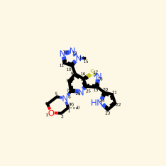 C[C@@H]1COCCN1c1cc(-c2cnnn2C)c2snc(-c3ccc[nH]3)c2n1